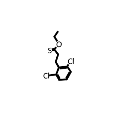 CCOC(=S)CCc1c(Cl)cccc1Cl